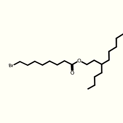 CCCCCCC(CCCC)CCOC(=O)CCCCCCCBr